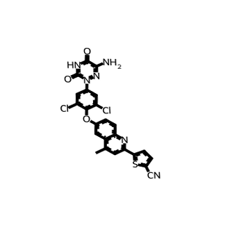 Cc1cc(-c2ccc(C#N)s2)nc2ccc(Oc3c(Cl)cc(-n4nc(N)c(=O)[nH]c4=O)cc3Cl)cc12